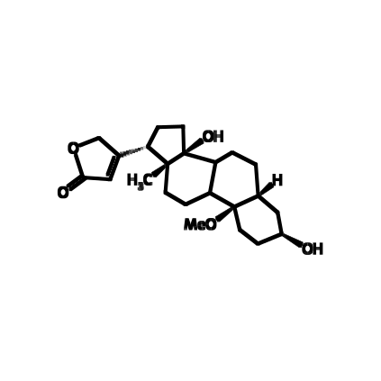 CO[C@]12CC[C@H](O)C[C@H]1CCC1C2CC[C@]2(C)[C@H](C3=CC(=O)OC3)CC[C@]12O